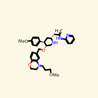 COCCCN1CCOc2ccc(CO[C@H]3CN[C@@H](CC(C)Nc4ccccn4)C[C@@H]3c3ccc(OC)cc3)cc21